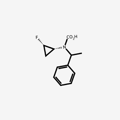 CC(c1ccccc1)N(C(=O)O)[C@@H]1C[C@@H]1F